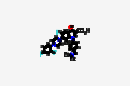 CCN(CC)Cc1ccc(-n2cc(C(=O)O)c(=O)c3cc(F)c(N4CCN(c5ccc(F)cc5F)CC4)c(OC)c32)cc1